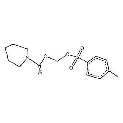 Cc1ccc(S(=O)(=O)OCOC(=O)N2CCCCC2)cc1